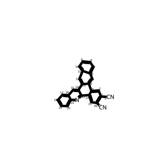 N#Cc1cc2c3cc4ccccc4cc3c3cc4ccccc4nc3c2cc1C#N